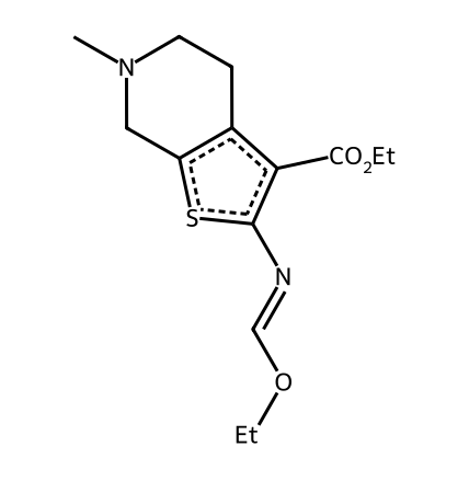 CCOC=Nc1sc2c(c1C(=O)OCC)CCN(C)C2